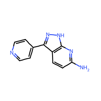 Nc1ccc2c(-c3ccncc3)n[nH]c2n1